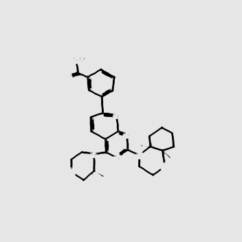 CNC(=O)c1cccc(-c2ccc3c(N4CCOC[C@@H]4C)nc(N4CCO[C@H]5CCCC[C@@H]54)nc3n2)c1